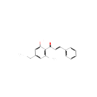 COCc1cc(O)c(C(=O)C=Cc2ccccc2)c(OC)c1